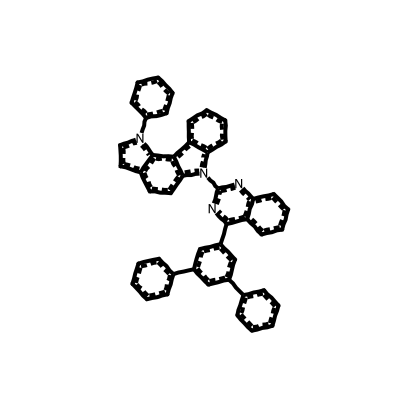 c1ccc(-c2cc(-c3ccccc3)cc(-c3nc(-n4c5ccccc5c5c6c(ccc54)ccn6-c4ccccc4)nc4ccccc34)c2)cc1